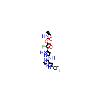 CC1(NC(=O)O[C@H]2CO[C@@H](c3cc(Nc4nccn5nc(C(F)(F)F)cc45)n[nH]3)[C@@H]2F)CC1